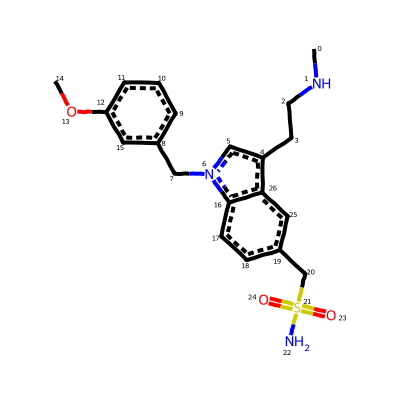 CNCCc1cn(Cc2cccc(OC)c2)c2ccc(CS(N)(=O)=O)cc12